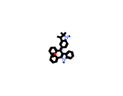 CC1c2c/c(=C(\c3ccccc3)c3c(-c4ccccc4)n(C)c4ccccc34)ccc2=[N+](C)C1(C)C